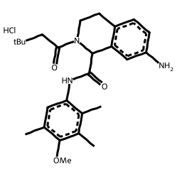 COc1c(C)cc(NC(=O)C2c3cc(N)ccc3CCN2C(=O)CC(C)(C)C)c(C)c1C.Cl